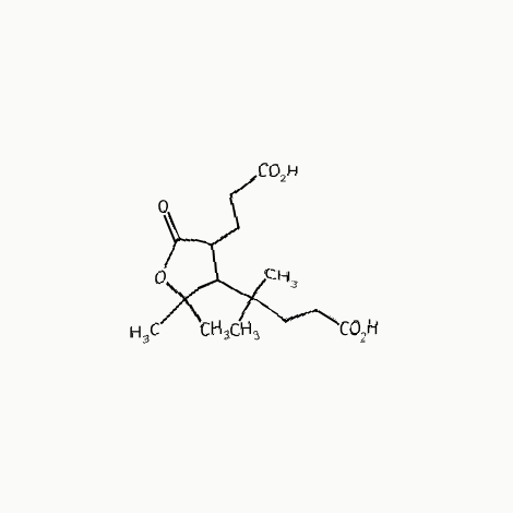 CC(C)(CCC(=O)O)C1C(CCC(=O)O)C(=O)OC1(C)C